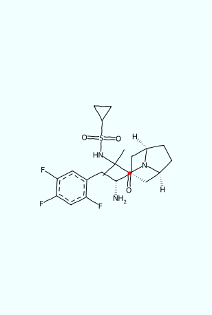 CC(C)(NS(=O)(=O)C1CC1)C(=O)N1[C@@H]2CC[C@H]1C[C@H]([C@H](N)Cc1cc(F)c(F)cc1F)C2